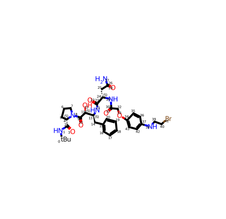 CC(C)(C)NC(=O)[C@@H]1CCCN1C(=O)[C@@H](O)[C@H](Cc1ccccc1)NC(=O)[C@H](CC(N)=O)NC(=O)COc1ccc(NCCBr)cc1